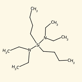 CCCC[Si](CCCC)(N(CC)CC)N(CC)CC